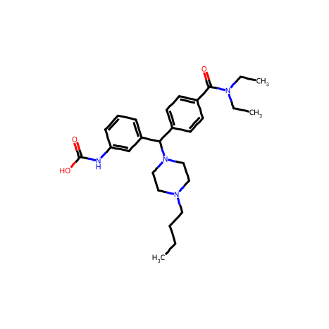 CCCCN1CCN(C(c2ccc(C(=O)N(CC)CC)cc2)c2cccc(NC(=O)O)c2)CC1